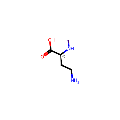 NCC[C@H](NI)C(=O)O